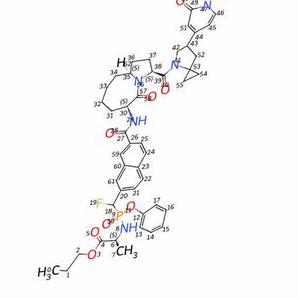 CCCOC(=O)[C@H](C)NP(=O)(Oc1ccccc1)C(F)c1ccc2ccc(C(=O)N[C@H]3CCCC[C@H]4CC[C@@H](C(=O)N5CC(c6ccn(C)c(=O)c6)CC56CC6)N4C3=O)cc2c1